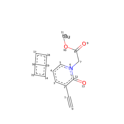 C#Cc1cccn(CC(=O)OC(C)(C)C)c1=O.c1cc2ccc1-2